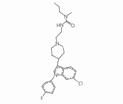 CCCN(C)C(=O)NCCN1CCC(c2cn(-c3ccc(F)cc3)c3cc(Cl)ccc23)CC1